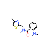 Cc1csc(CN(C)C(=O)c2ccccc2N(C)C)n1